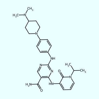 CC(C)n1cccc(Nc2nc(Nc3ccc(N4CCC(N(C)C)CC4)cc3)ncc2C(N)=O)c1=O